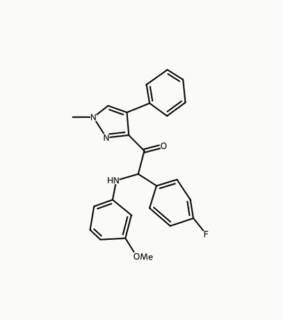 COc1cccc(NC(C(=O)c2nn(C)cc2-c2ccccc2)c2ccc(F)cc2)c1